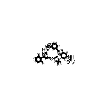 COC(=O)NC1CCC(N2C(=O)c3cccc(c3)S(=O)(=O)Nc3nc(cc(-c4c(C)cccc4C)n3)OC[C@H]2CC(C)(C)C)CC1